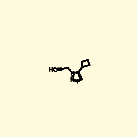 C#CCn1n[c]cc1C1CCC1